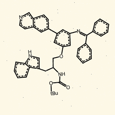 CC(C)(C)OC(=O)NC(COc1cc(N=C(c2ccccc2)c2ccccc2)cc(-c2ccc3cnccc3c2)c1)Cc1c[nH]c2ccccc12